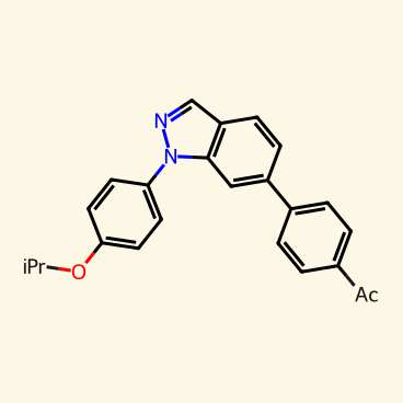 CC(=O)c1ccc(-c2ccc3cnn(-c4ccc(OC(C)C)cc4)c3c2)cc1